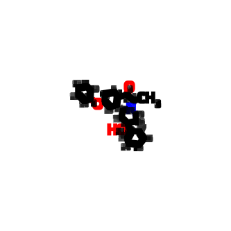 CC(C(=O)c1ccc(Oc2ccccc2)cc1)N1CCC(O)(c2ccccc2)CC1